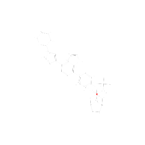 CC(C)(C)OC(=O)N1C2CCC1CC(Sc1ccc(-c3ccc(-c4cnn(C5CCCCO5)c4)c4ncsc34)nn1)C2